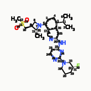 CC(C)c1ccc(N2C[C@H](CS(C)(=O)=O)[C@H]2C)c2cnc(Nc3ccnc(N4CCC[C@@H](F)C4)n3)cc12